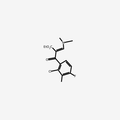 CCOC(=O)C(=CN(C)C)C(=O)c1ccc(F)c(C)c1Cl